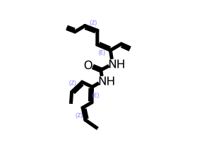 C=C/C=C\C=C(/C=C)NC(=O)NC(/C=C\C)=C/C=C\C